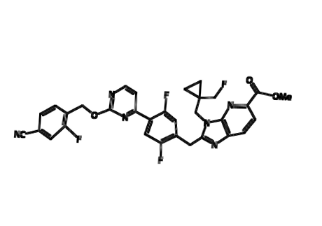 COC(=O)c1ccc2nc(Cc3cc(F)c(-c4ccnc(OCc5ccc(C#N)cc5F)n4)cc3F)n(CC3(CF)CC3)c2n1